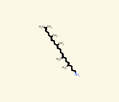 CC(C)=CCC/C(C)=C/CC/C(C)=C/CC/C=C(\C)CC/C=C(\C)CCCN